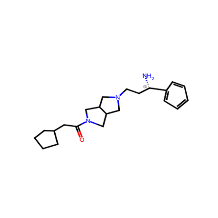 N[C@@H](CCN1CC2CN(C(=O)CC3CCCC3)CC2C1)c1ccccc1